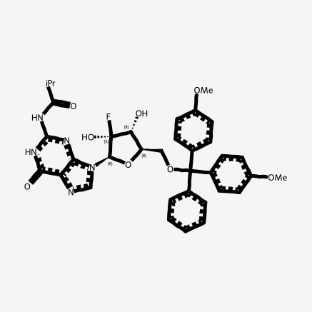 COc1ccc(C(OC[C@H]2O[C@@H](n3cnc4c(=O)[nH]c(NC(=O)C(C)C)nc43)[C@@](O)(F)[C@@H]2O)(c2ccccc2)c2ccc(OC)cc2)cc1